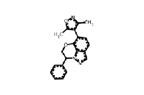 Cc1noc(C)c1-c1ccc2cnn3c2c1OCC3c1ccccc1